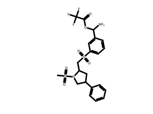 CS(=O)(=O)N1CC(c2ccccc2)CC1CS(=O)(=O)c1cccc(C(N)OC(=O)C(F)(F)F)c1